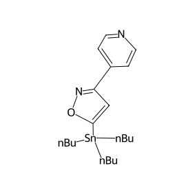 CCC[CH2][Sn]([CH2]CCC)([CH2]CCC)[c]1cc(-c2ccncc2)no1